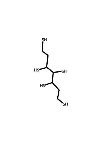 SCCC(S)C(S)C(S)CCS